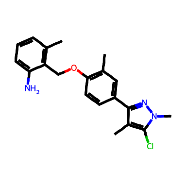 Cc1cc(-c2nn(C)c(Cl)c2C)ccc1OCc1c(C)cccc1N